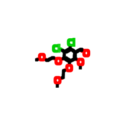 COCCOc1c(Cl)c(Cl)c(C=O)c(OC)c1OCCOC